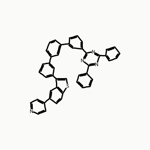 c1ccc(-c2nc(-c3ccccc3)nc(-c3cccc(-c4cccc(-c5cccc(-c6csc7ccc(-c8ccncc8)cc67)c5)c4)c3)n2)cc1